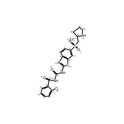 CC[C@]1(CS(=O)(=O)c2ccc3nc(NC(=O)NC(=O)c4ccccc4Cl)sc3c2)CCCN1